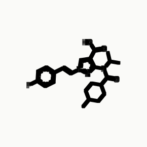 CC1CCC(C(=O)N(c2nn(C=Cc3ccc(F)cc3)cc2C(=O)O)C(C)C)CC1